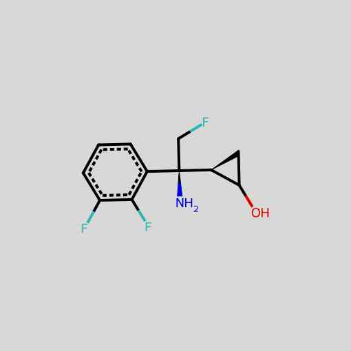 N[C@](CF)(c1cccc(F)c1F)[C@H]1CC1O